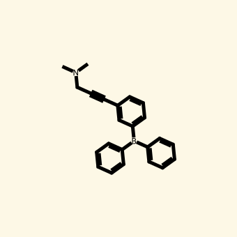 CN(C)CC#Cc1cccc(B(c2ccccc2)c2ccccc2)c1